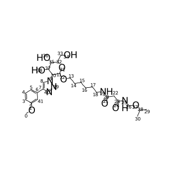 COc1cccc(-c2cn(C3C(OCCCCCCNC(=O)CC(=O)NCOC(C)C)OC(CO)C(O)C3O)nn2)c1